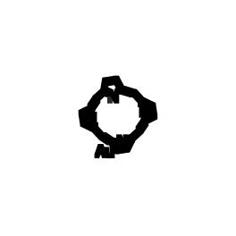 C1=CC2=NC1=CC1=NC(=CC3=NC(=CC4=NC(=C2)C=C4)C=C3)C=C1.[Au]